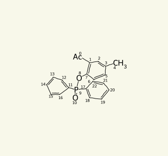 CC(=O)c1cc(C)ccc1OP(=O)(c1ccccc1)c1ccccc1